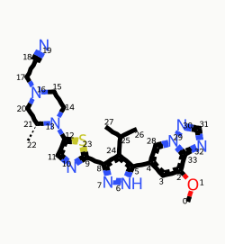 COc1cc(-c2[nH]nc(-c3ncc(N4CCN(CC#N)C[C@H]4C)s3)c2C(C)C)cn2ncnc12